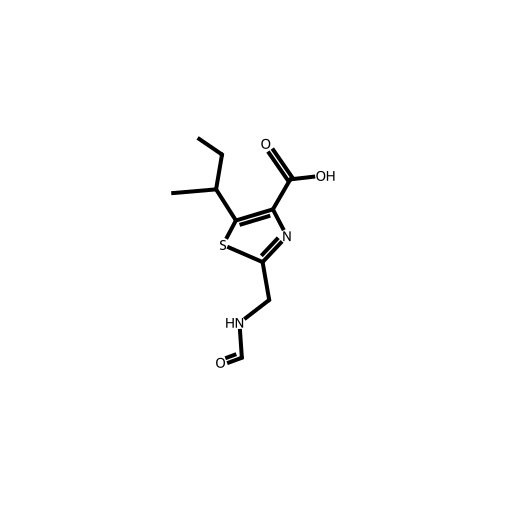 CCC(C)c1sc(CNC=O)nc1C(=O)O